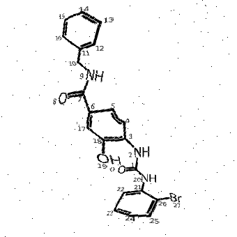 O=C(Nc1ccc(C(=O)NCc2ccccc2)cc1O)Nc1ccccc1Br